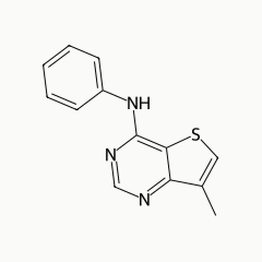 Cc1csc2c(Nc3ccccc3)ncnc12